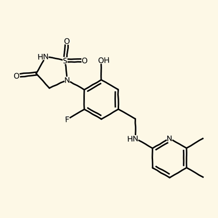 Cc1ccc(NCc2cc(O)c(N3CC(=O)NS3(=O)=O)c(F)c2)nc1C